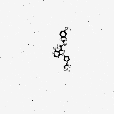 C=CC(=O)N1CCC(n2nc(C(=O)Nc3nc4cc(C)ccc4o3)c3c(N)ncnc32)C1